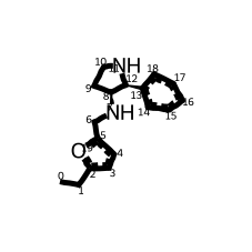 CCc1ccc(CN[C@H]2CCN[C@H]2c2ccccc2)o1